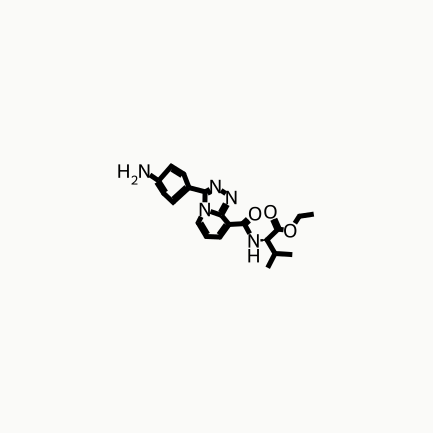 CCOC(=O)[C@@H](NC(=O)c1cccn2c(-c3ccc(N)cc3)nnc12)C(C)C